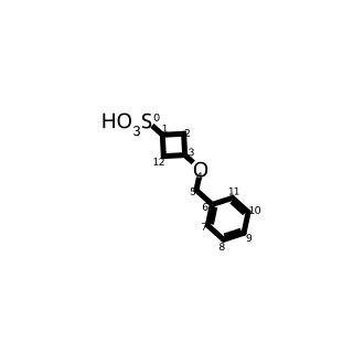 O=S(=O)(O)C1CC(OCc2ccccc2)C1